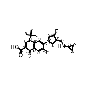 CC(C)(C)n1cc(C(=O)O)c(=O)c2cc(F)c(N3CC(F)C(CNC4CC4)C3)cc21